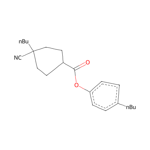 CCCCc1ccc(OC(=O)C2CCC(C#N)(CCCC)CC2)cc1